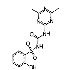 Cc1nc(C)nc(NC(=O)NS(=O)(=O)c2ccccc2O)n1